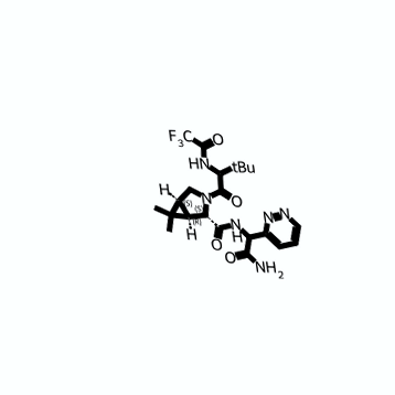 CC(C)(C)C(NC(=O)C(F)(F)F)C(=O)N1C[C@H]2[C@@H]([C@H]1C(=O)NC(C(N)=O)c1cccnn1)C2(C)C